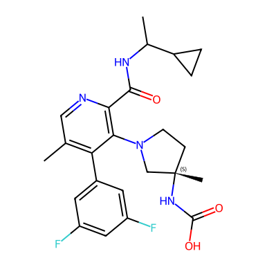 Cc1cnc(C(=O)NC(C)C2CC2)c(N2CC[C@](C)(NC(=O)O)C2)c1-c1cc(F)cc(F)c1